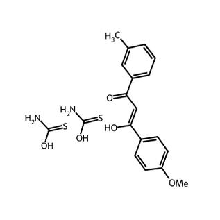 COc1ccc(C(O)=CC(=O)c2cccc(C)c2)cc1.NC(O)=S.NC(O)=S